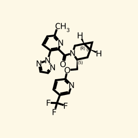 Cc1ccc(-n2nccn2)c(C(=O)N2C[C@@H]3C[C@@H]3C[C@H]2COc2ccc(C(F)(F)F)cn2)n1